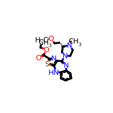 CCOC(=O)c1nc2c(s1)Nc1ccccc1N=C2N1CCN(C)[C@@H](CCOC)C1